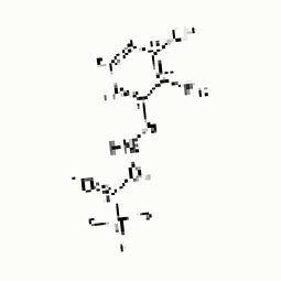 CC(C)(C)C(=O)ONCc1cccc(Cl)c1F